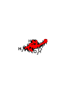 CCCC1O[C@@H]2C[C@H]3[C@@H]4C[C@H](F)C5=CC(=O)C=C[C@]5(C)C4[C@@H](O)C[C@]3(C)[C@]2(C(=O)COC(=O)[C@H](CC(C)C)NC(=O)[C@H](CO)NC(=O)OCc2ccc(NC(=O)[C@H](CCCNC(N)=O)NC(=O)[C@@H](NC(=O)[C@@H](CCC(=O)O)NC(=O)CCOCCOCCOCCOCCNC(=O)OC[C@@H]3[C@@H]4CCC#CCC[C@@H]43)C(C)C)cc2)O1